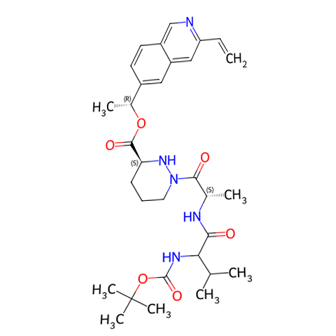 C=Cc1cc2cc([C@@H](C)OC(=O)[C@@H]3CCCN(C(=O)[C@H](C)NC(=O)C(NC(=O)OC(C)(C)C)C(C)C)N3)ccc2cn1